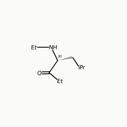 CCN[C@H](CC(C)C)C(=O)CC